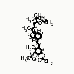 C=C1/C(=C\C=C2/CCC[C@]3(C)[C@@H]([C@H](C)CCC(OC(C)=O)C(C)(C)O)CC[C@@H]23)C[C@@H](OC(C)=O)C[C@@H]1OC(C)=O